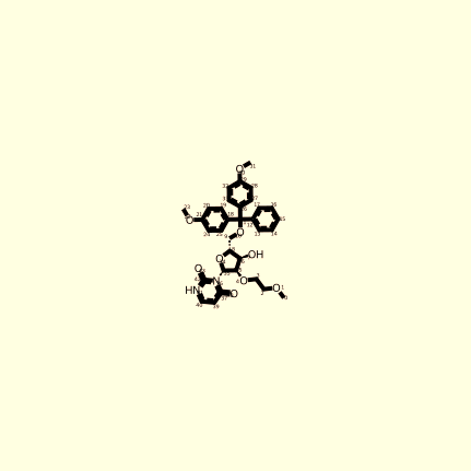 COCCO[C@@H]1[C@H](O)[C@@H](COC(c2ccccc2)(c2ccc(OC)cc2)c2ccc(OC)cc2)O[C@H]1n1c(=O)cc[nH]c1=O